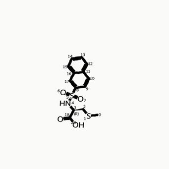 CSC[C@H](NS(=O)(=O)c1ccc2ccccc2c1)C(=O)O